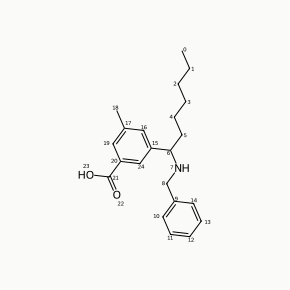 CCCCCCC(NCc1ccccc1)c1cc(C)cc(C(=O)O)c1